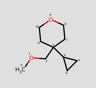 COCC1(C2CC2)CCOCC1